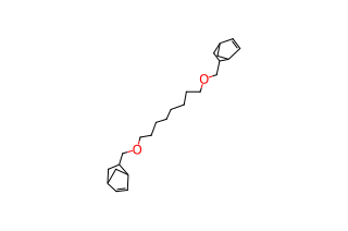 C1=CC2CC1CC2COCCCCCCCCOCC1CC2C=CC1C2